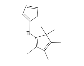 CC1=C(C)C(C)(C)[C]([Ti][C]2=CC=CC2)=C1C